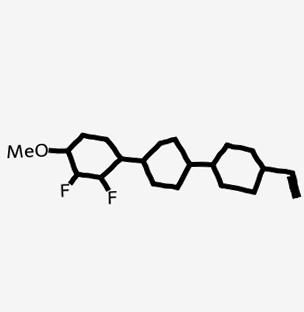 C=CC1CCC(C2CCC(C3CCC(OC)C(F)C3F)CC2)CC1